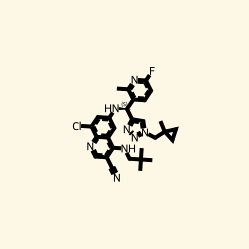 Cc1nc(F)ccc1[C@H](Nc1cc(Cl)c2ncc(C#N)c(NCC(C)(C)C)c2c1)c1cn(CC2(C)CC2)nn1